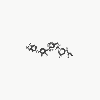 C=CC(=O)N[C@@H]1C[C@H](C)CN(c2ncc3ncnc(Nc4ccc(Oc5ccc6c(c5)nnn6C)c(C)c4F)c3n2)C1